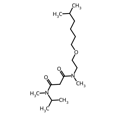 CC(C)CCCCOCCN(C)C(=O)CC(=O)N(C)C(C)C